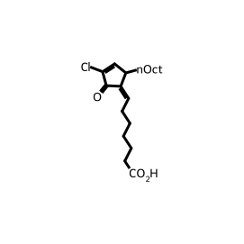 CCCCCCCCC1C=C(Cl)C(=O)C1=CCCCCCC(=O)O